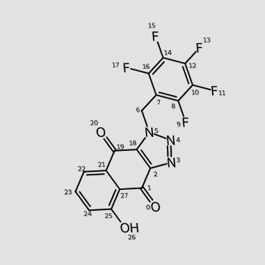 O=C1c2nnn(Cc3c(F)c(F)c(F)c(F)c3F)c2C(=O)c2cccc(O)c21